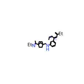 C=C(/C=C(\C=C/C)c1cccc(NCC23CCC(/C(C)=N/CC)(CC2)C3)c1)CC